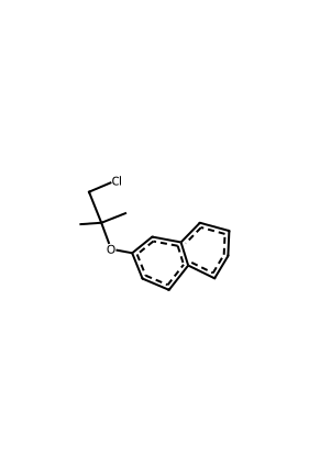 CC(C)(CCl)Oc1ccc2ccccc2c1